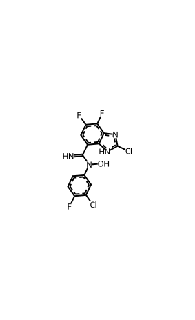 N=C(c1cc(F)c(F)c2nc(Cl)[nH]c12)N(O)c1ccc(F)c(Cl)c1